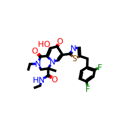 CCNC(=O)C1(C)CN(CC)C(=O)c2c(O)c(=O)c(-c3ncc(Cc4ccc(F)cc4F)s3)cn21